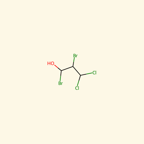 OC(Br)C(Br)C(Cl)Cl